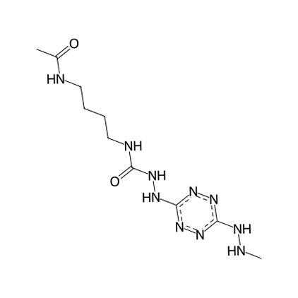 CNNc1nnc(NNC(=O)NCCCCNC(C)=O)nn1